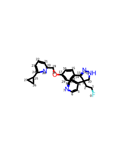 FCCC1(c2ccncc2)CNN=C1c1ccc(OCc2cccc(C3CC3)n2)cc1